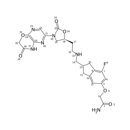 NC(=O)COc1cc(F)c2c(c1)CC(CNCC[C@H]1CN(c3cnc4c(n3)NC(=O)CO4)C(=O)O1)C2